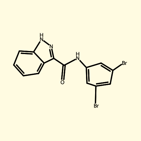 O=C(Nc1cc(Br)cc(Br)c1)c1n[nH]c2ccccc12